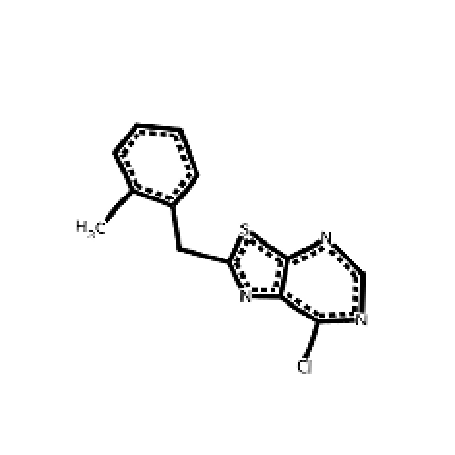 Cc1ccccc1Cc1nc2c(Cl)ncnc2s1